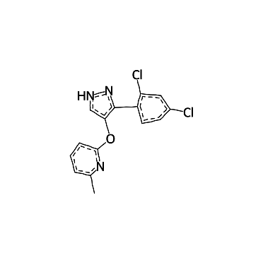 Cc1cccc(Oc2c[nH]nc2-c2ccc(Cl)cc2Cl)n1